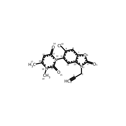 C#CCn1c(=O)oc2cc(Cl)c(-n3c(=O)cc(C)n(C)c3=O)cc21